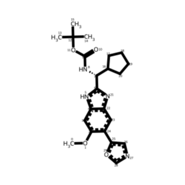 COc1cc2[nH]c([C@H](NC(=O)OC(C)(C)C)C3CCCC3)nc2cc1-c1cnco1